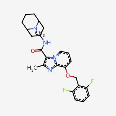 Cc1nc2c(OCc3c(F)cccc3F)cccn2c1C(=O)NC1CC2CCCC(C1)N2C